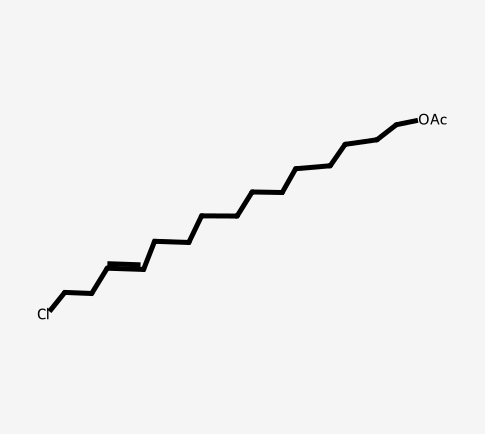 CC(=O)OCCCCCCCCCCC/C=C/CCCl